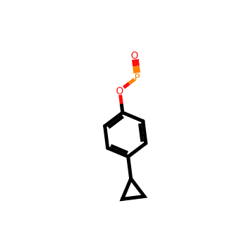 O=POc1ccc(C2CC2)cc1